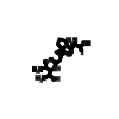 CC(O)C(NC(=O)CN1CC2(CCCN2C(=O)C(N)C(O)I)C1=O)C(N)=O